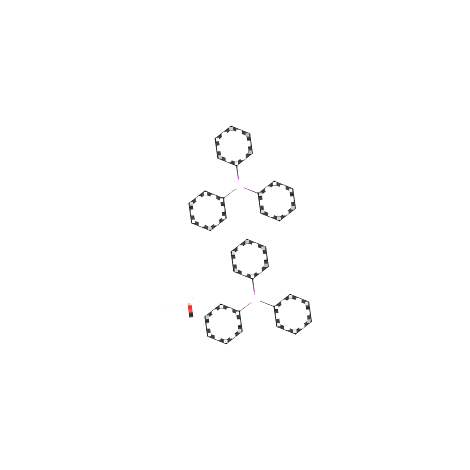 C=O.[Cl-].[Ir+].c1ccc(P(c2ccccc2)c2ccccc2)cc1.c1ccc(P(c2ccccc2)c2ccccc2)cc1